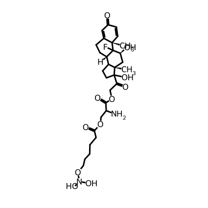 C[C@]12C=CC(=O)C=C1CC[C@H]1C3CCC(O)(C(=O)COC(=O)C(N)COC(=O)CCCCCON(O)O)[C@@]3(C)C[C@H](O)C12F